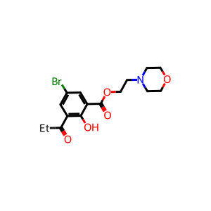 CCC(=O)c1cc(Br)cc(C(=O)OCCN2CCOCC2)c1O